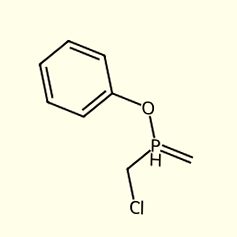 C=[PH](CCl)Oc1ccccc1